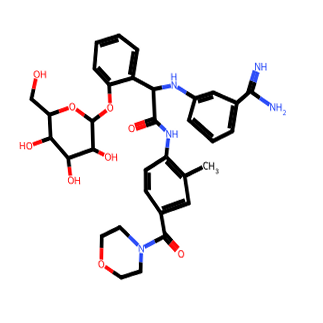 Cc1cc(C(=O)N2CCOCC2)ccc1NC(=O)C(Nc1cccc(C(=N)N)c1)c1ccccc1OC1OC(CO)C(O)C(O)C1O